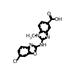 Cn1c(Nc2nc3ccc(Cl)cc3o2)nc2cc(C(=O)O)ccc21